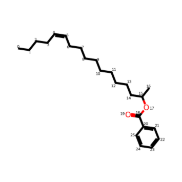 CCCC/C=C\CCCCCCCCCC(C)OC(=O)c1ccccc1